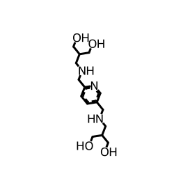 OCC(CO)CNCc1ccc(CNCC(CO)CO)nc1